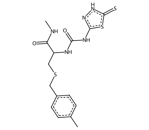 CNC(=O)C(CSCc1ccc(C)cc1)NC(=O)Nc1n[nH]c(=S)s1